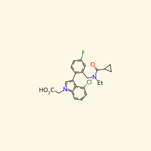 CCN(Cc1cc(F)ccc1-c1cn(CC(=O)O)c2cccc(Cl)c12)C(=O)C1CC1